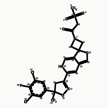 CS(=O)(=O)CC(=O)N1CC2(C1)OC=C1C=C(C3=NOC(c4cc(Cl)c(F)c(Cl)c4)(C(F)(F)F)C3)NC=C12